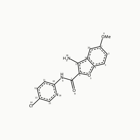 COc1ccc2oc(C(=O)Nc3ccc(Cl)cn3)c(N)c2c1